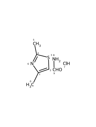 Cc1csc(C)n1.Cl.NC=O